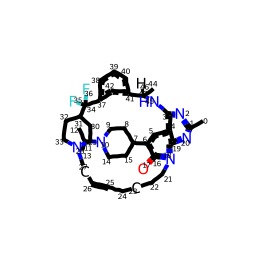 Cc1nc2c3cc(C4CCN(C(C)C)CC4)c(=O)n(c3n1)CCCC/C=C\CN1CCC(CC1)C(F)(F)c1cccc(c1)[C@H](C)N2